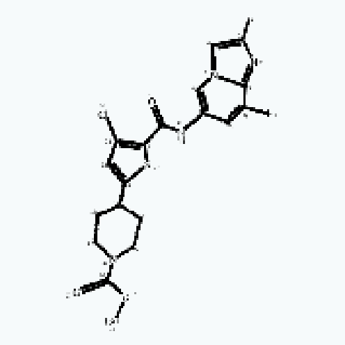 Cc1cn2cc(NC(=O)c3sc(C4CCN(C(=O)OC(C)(C)C)CC4)cc3Cl)cc(F)c2n1